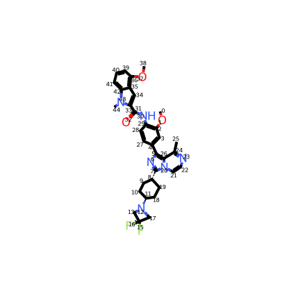 COc1cc(-c2nc([C@H]3CC[C@H](N4CC(F)(F)C4)CC3)n3ccnc(C)c23)ccc1NC(=O)c1cc2c(OC)cccc2n1C